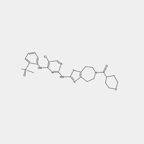 CP(C)(=O)c1ccccc1Nc1nc(Nc2nc3c(s2)CCN(C(=O)C2CCOCC2)CC3)ncc1Cl